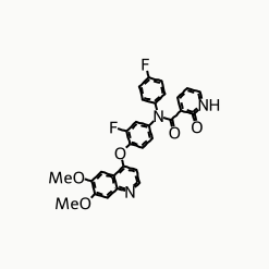 COc1cc2nccc(Oc3ccc(N(C(=O)c4ccc[nH]c4=O)c4ccc(F)cc4)cc3F)c2cc1OC